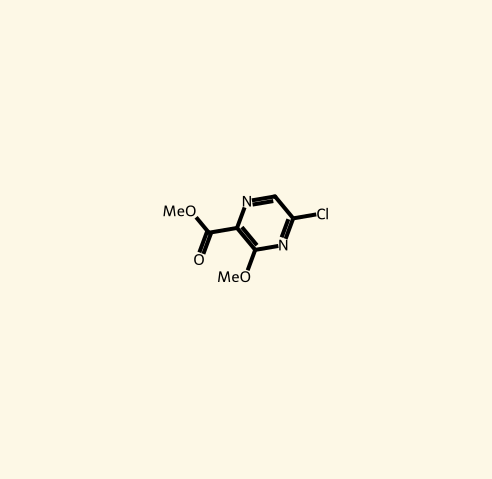 COC(=O)c1ncc(Cl)nc1OC